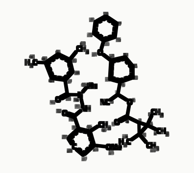 CC1(C)C(C(=O)OC(C#N)c2cccc(Oc3ccccc3)c2)C1(C)C.COc1cccc(C(=O)NN(C(=O)c2cc(C)cc(C)c2)C(C)(C)C)c1C